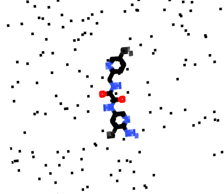 CCc1cc(NC(=O)C(=O)NCc2ccc(C(F)(F)F)cn2)cnc1N